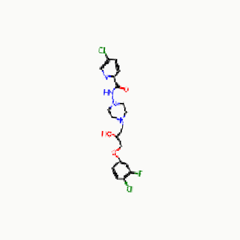 O=C(NN1CCN(CC(O)COc2ccc(Cl)c(F)c2)CC1)c1ccc(Cl)cn1